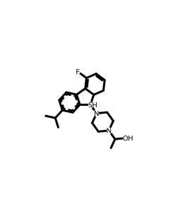 CC(C)c1ccc2c(c1)[SH](N1CCN(C(C)O)CC1)C1CC=CC(F)=C21